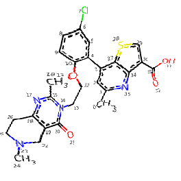 Cc1cc(-c2cc(Cl)ccc2OCCn2c(C)nc3c(c2=O)CN(C)CC3)c2scc(C(=O)O)c2n1